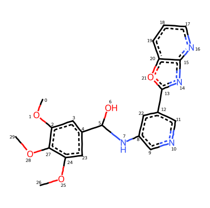 COc1cc(C(O)Nc2cncc(-c3nc4ncccc4o3)c2)cc(OC)c1OC